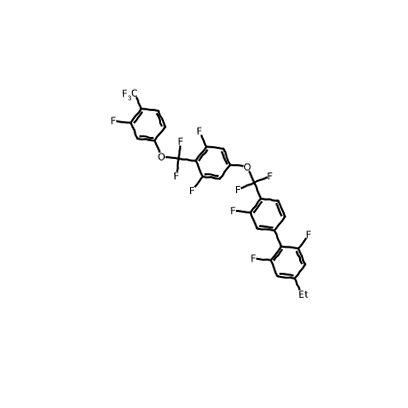 CCc1cc(F)c(-c2ccc(C(F)(F)Oc3cc(F)c(C(F)(F)Oc4ccc(C(F)(F)F)c(F)c4)c(F)c3)c(F)c2)c(F)c1